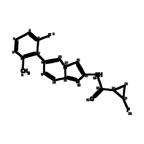 Cc1cccc(F)c1-c1ccc2nc(NC(=O)C3CC3F)cn2c1